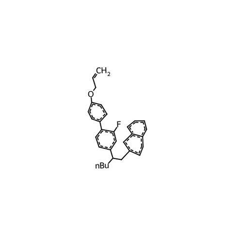 C=CCOc1ccc(-c2ccc(C(CCCC)Cc3ccc4ccccc4c3)cc2F)cc1